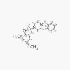 C/C=C(/F)CN(CC1(N2CCN(Cc3ccccc3)CC2)CC1)C(=O)CC